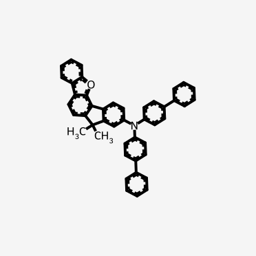 CC1(C)c2cc(N(c3ccc(-c4ccccc4)cc3)c3ccc(-c4ccccc4)cc3)ccc2-c2c1ccc1c2oc2ccccc21